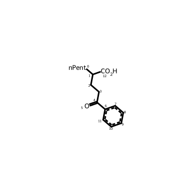 CCCCCC(CCC(=O)c1ccccc1)C(=O)O